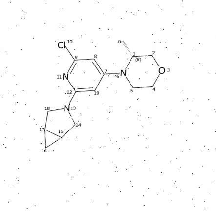 C[C@@H]1COCCN1c1cc(Cl)nc(N2CC3CC3C2)c1